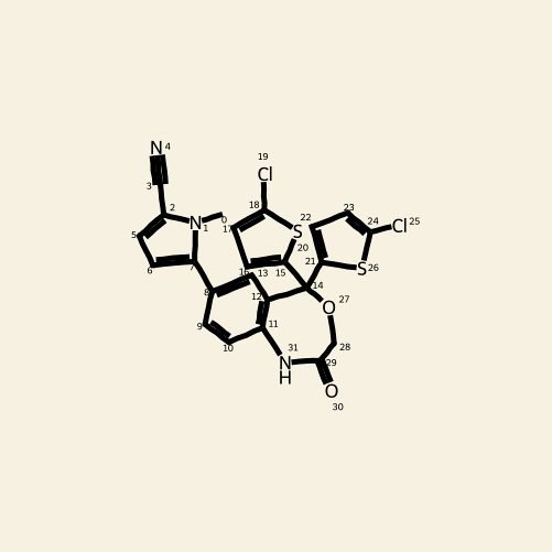 Cn1c(C#N)ccc1-c1ccc2c(c1)C(c1ccc(Cl)s1)(c1ccc(Cl)s1)OCC(=O)N2